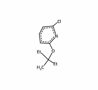 CCC(C)(CC)Oc1cccc(Cl)n1